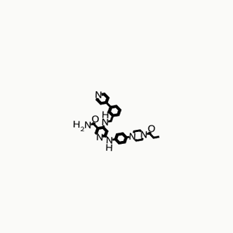 CCC(=O)N1CCN(c2ccc(Nc3cc(NCc4cccc(-c5ccncc5)c4)c(C(N)=O)cn3)cc2)CC1